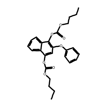 CCCCOC(=O)Oc1cc(Oc2ccccc2)c(OC(=O)OCCCC)c2ccccc12